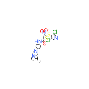 CN1CCN(c2ccc(NC(=O)c3cc([N+](=O)[O-])c(Sc4c(Cl)cncc4Cl)s3)cc2)CC1